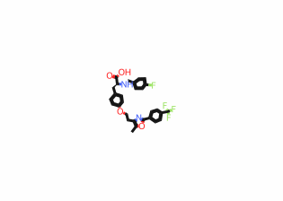 Cc1oc(-c2ccc(C(F)(F)F)cc2)nc1CCOc1ccc(C[C@H](NCc2ccc(F)cc2)C(=O)O)cc1